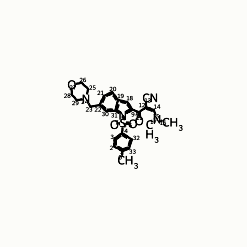 Cc1ccc(S(=O)(=O)n2c(C(=O)/C(C#N)=C\N(C)C)cc3ccc(CN4CCOCC4)cc32)cc1